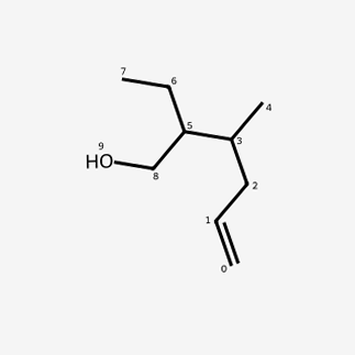 C=CCC(C)C(CC)CO